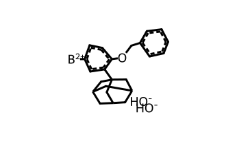 [B+2]c1ccc(OCc2ccccc2)c(C23CC4CC(CC(C4)C2)C3)c1.[OH-].[OH-]